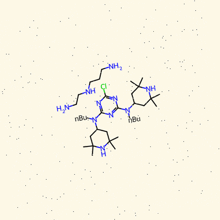 CCCCN(c1nc(Cl)nc(N(CCCC)C2CC(C)(C)NC(C)(C)C2)n1)C1CC(C)(C)NC(C)(C)C1.NCCCNCCN